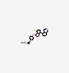 O=C[C@H]1C[C@@H]1c1ccc(O[C@@H]2CCc3c(-c4cccc5cnccc45)ccc(F)c32)cc1